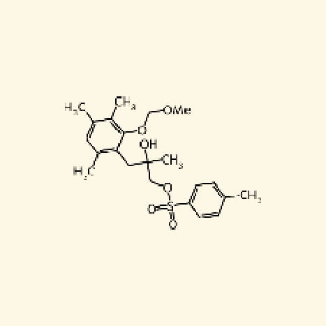 COCOc1c(C)c(C)cc(C)c1CC(C)(O)COS(=O)(=O)c1ccc(C)cc1